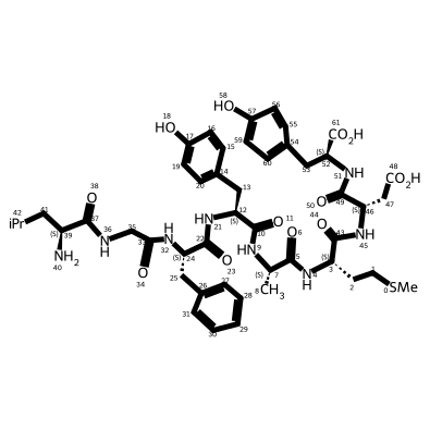 CSCC[C@H](NC(=O)[C@H](C)NC(=O)[C@H](Cc1ccc(O)cc1)NC(=O)[C@H](Cc1ccccc1)NC(=O)CNC(=O)[C@@H](N)CC(C)C)C(=O)N[C@@H](CC(=O)O)C(=O)N[C@@H](Cc1ccc(O)cc1)C(=O)O